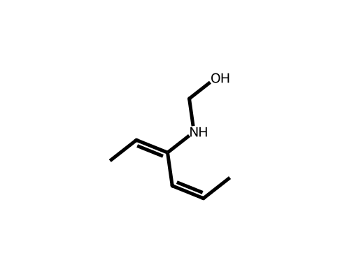 C/C=C\C(=C/C)NCO